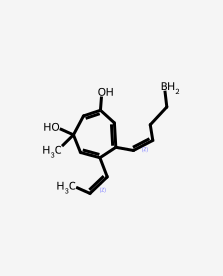 BCC/C=C\C1=CC(O)=CC(C)(O)C=C1/C=C\C